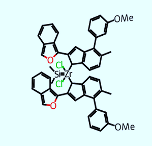 COc1cccc(-c2c(C)ccc3c2C=C(c2occ4ccccc24)[CH]3[Zr]([Cl])([Cl])([CH]2C(c3occ4ccccc34)=Cc3c2ccc(C)c3-c2cccc(OC)c2)=[Si](C)C)c1